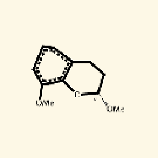 COc1cccc2c1O[C@@H](OC)CC2